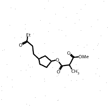 CCC(=O)CCC1CCC(OC(=O)C(C)C(=O)OC)C1